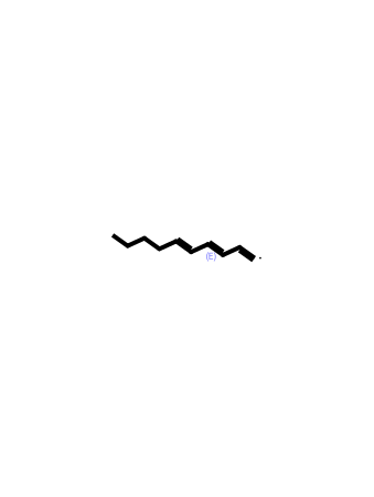 [CH]=C/C=C/C=CCCCC